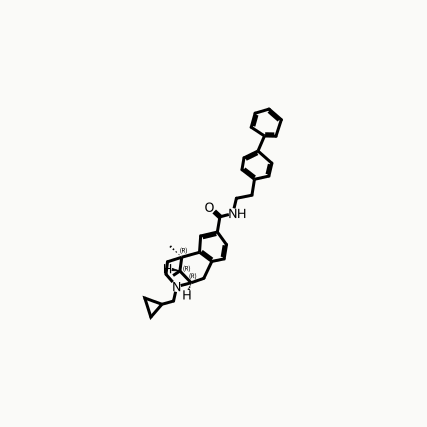 C[C@H]1[C@H]2Cc3ccc(C(=O)NCCc4ccc(-c5ccccc5)cc4)cc3[C@]1(C)CCN2CC1CC1